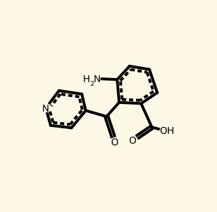 Nc1cccc(C(=O)O)c1C(=O)c1ccncc1